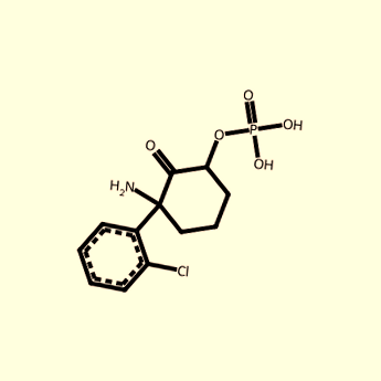 NC1(c2ccccc2Cl)CCCC(OP(=O)(O)O)C1=O